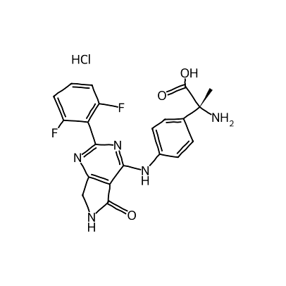 C[C@](N)(C(=O)O)c1ccc(Nc2nc(-c3c(F)cccc3F)nc3c2C(=O)NC3)cc1.Cl